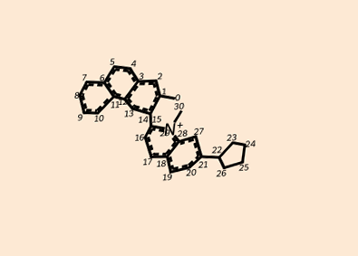 Cc1cc2ccc3ccccc3c2cc1-c1ccc2ccc(C3CCCC3)cc2[n+]1C